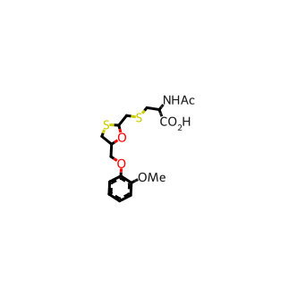 COc1ccccc1OCC1CSC(CSCC(NC(C)=O)C(=O)O)O1